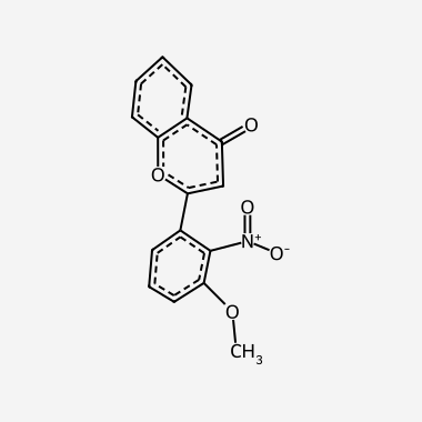 COc1cccc(-c2cc(=O)c3ccccc3o2)c1[N+](=O)[O-]